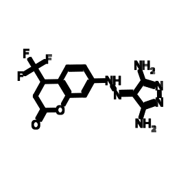 NC1=NN=C(N)C1=NNc1ccc2c(c1)OC(=O)CC2C(F)(F)F